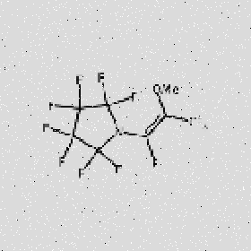 CO/C(=C(/F)N1C(F)(F)C(F)(F)C(F)(F)C1(F)F)C(F)(F)F